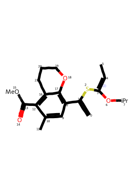 C=C(S/C(=C\C)OC(C)C)c1cc(C)c(C(=O)OC)c2c1OCCC2